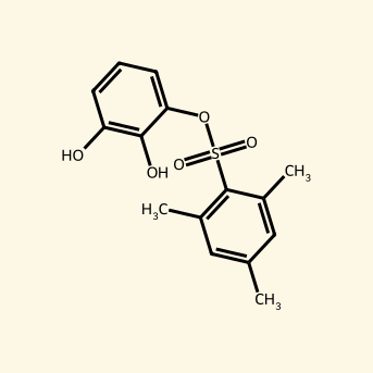 Cc1cc(C)c(S(=O)(=O)Oc2cccc(O)c2O)c(C)c1